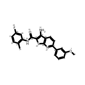 COc1cccc(-c2ccc3c(N)c(C(=O)Nc4cc(F)ccc4C)sc3n2)c1